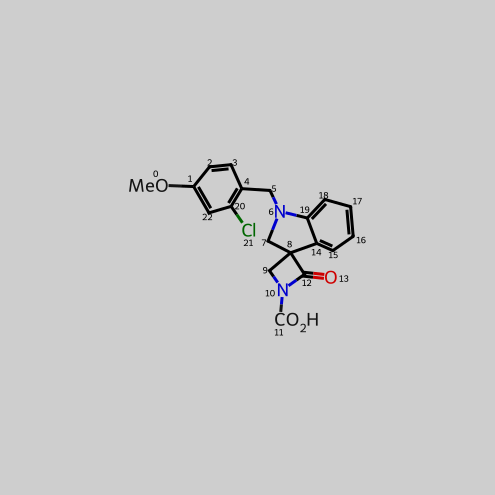 COc1ccc(CN2CC3(CN(C(=O)O)C3=O)c3ccccc32)c(Cl)c1